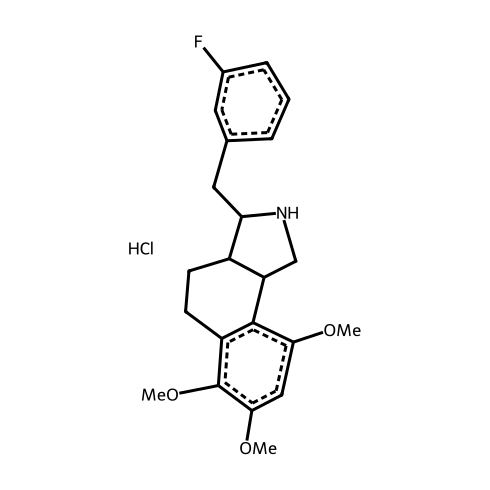 COc1cc(OC)c2c(c1OC)CCC1C(Cc3cccc(F)c3)NCC21.Cl